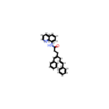 O=C(CCC(=Cc1ccccc1)CC=Cc1ccccc1)Nc1cccc2cccnc12